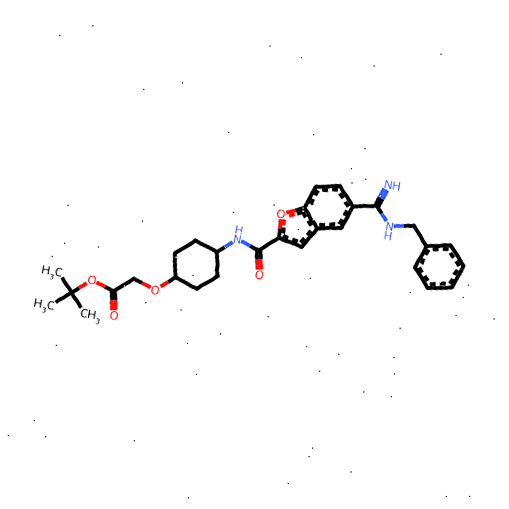 CC(C)(C)OC(=O)COC1CCC(NC(=O)c2cc3cc(C(=N)NCc4ccccc4)ccc3o2)CC1